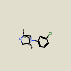 Clc1cccc(N2C[C@@H]3C[C@H]2C[N]3)c1